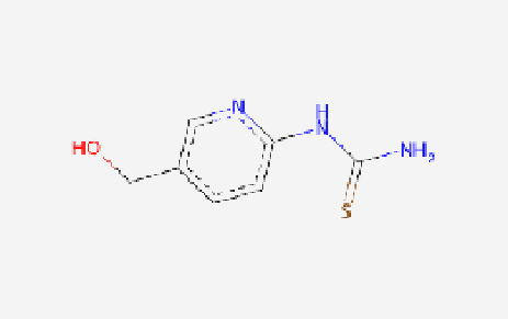 NC(=S)Nc1ccc(CO)cn1